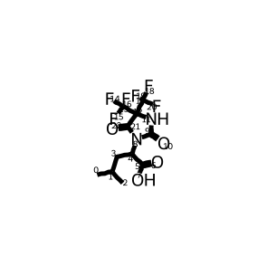 CC(C)CC(C(=O)O)N1C(=O)NC(C(F)(F)F)(C(F)(F)F)C1=O